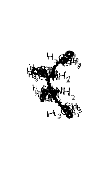 CC1(C)CC(CCCCNc2nc(N)nc(N(CCCCCCN(c3nc(N)nc(NCCCCC4CC(C)(C)N(OC5CCCCC5)C(C)(C)C4)n3)C3CC(C)(C)N(OC4CCCCC4)C(C)(C)C3)C3CC(C)(C)N(OC4CCCCC4)C(C)(C)C3)n2)CC(C)(C)N1OC1CCCCC1